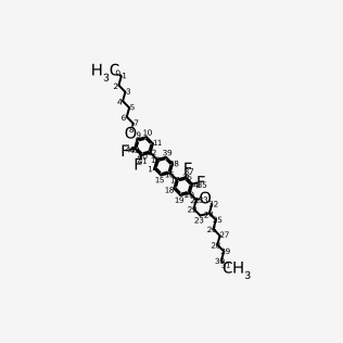 CCCCCCCCOc1ccc(-c2ccc(-c3ccc(C4CCC(CCCCCCC)CO4)c(F)c3F)cc2)c(F)c1F